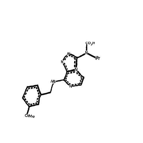 COc1cccc(CNc2nccn3c(N(C(=O)O)C(C)C)nnc23)c1